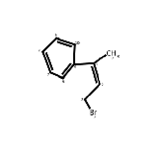 C/C(=C/CBr)c1ccccc1